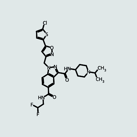 CC(C)N1CCC(NC(=O)c2nn(Cc3cc(-c4ccc(Cl)s4)on3)c3ccc(C(=O)NCC(F)F)cc23)CC1